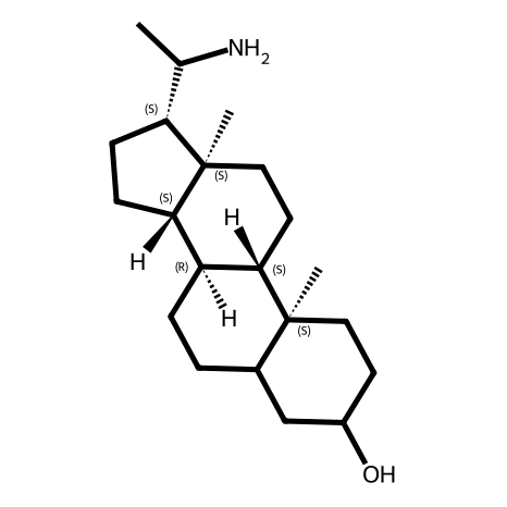 CC(N)[C@H]1CC[C@H]2[C@@H]3CCC4CC(O)CC[C@]4(C)[C@H]3CC[C@]12C